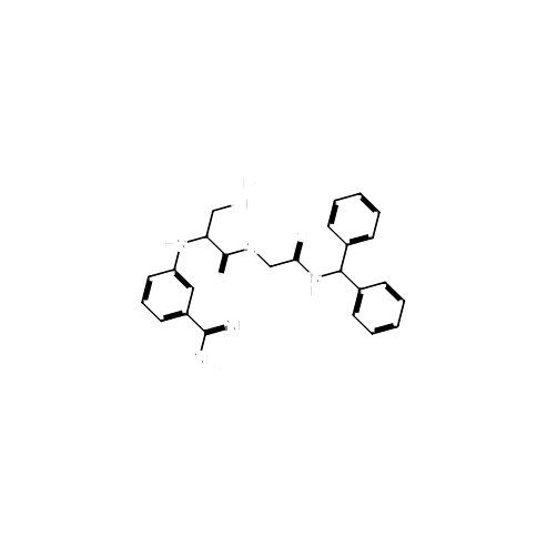 Cl.N=C(N)c1cccc(NC(CO)C(=O)NCC(=O)NC(c2ccccc2)c2ccccc2)c1